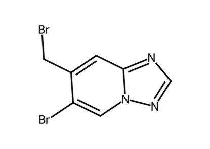 BrCc1cc2ncnn2cc1Br